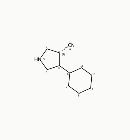 N#C[C@H]1CNCC1C1CCCCC1